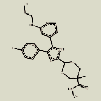 CCCNC(=O)C1(C)COC(c2nc(-c3ccc(F)cc3)c(-c3ccnc(NCCC#N)n3)[nH]2)OC1